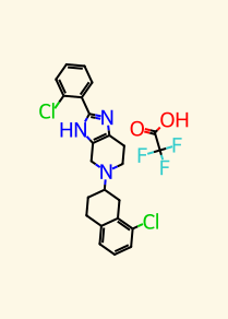 Clc1ccccc1-c1nc2c([nH]1)CN(C1CCc3cccc(Cl)c3C1)CC2.O=C(O)C(F)(F)F